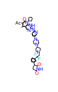 CC(=O)c1c(C)c2cnc(Nc3ccc(N4CCN(C5CCN(CC(F)(F)c6cccc(C7CCC(=O)NC7=O)c6)CC5)CC4)cn3)nc2n(C2CCCC2)c1=O